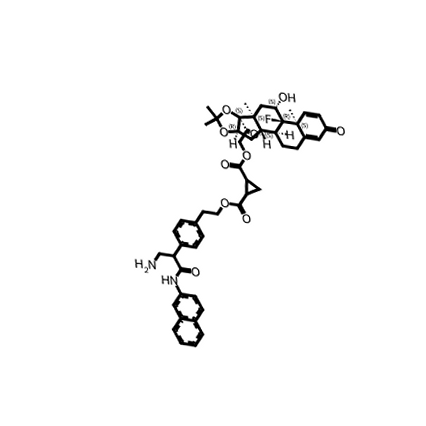 CC1(C)O[C@@H]2C[C@H]3[C@@H]4CCC5=CC(=O)C=C[C@]5(C)[C@@]4(F)[C@@H](O)C[C@]3(C)[C@]2(C(=O)COC(=O)C2CC2C(=O)OCCc2ccc(C(CN)C(=O)Nc3ccc4ccccc4c3)cc2)O1